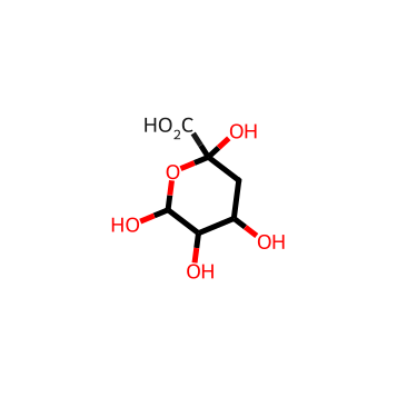 O=C(O)C1(O)CC(O)C(O)C(O)O1